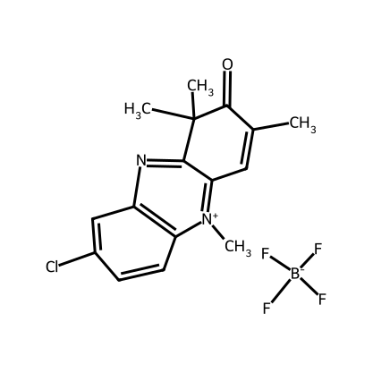 CC1=Cc2c(nc3cc(Cl)ccc3[n+]2C)C(C)(C)C1=O.F[B-](F)(F)F